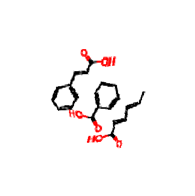 C/C=C/C=C/C(=O)O.O=C(O)/C=C/c1ccccc1.O=C(O)c1ccccc1